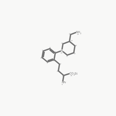 CCCC(CCc1ccccc1N1CCCC(CN)C1)C(=O)OCC